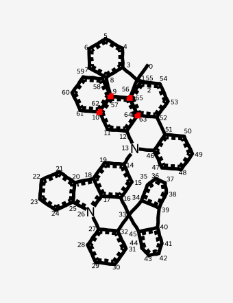 CC1(C)c2ccccc2-c2ccc(N(c3cc4c5c(c3)c3ccccc3n5-c3ccccc3C43c4ccccc4-c4ccccc43)c3ccccc3-c3cccc(-c4ccccc4)c3)cc21